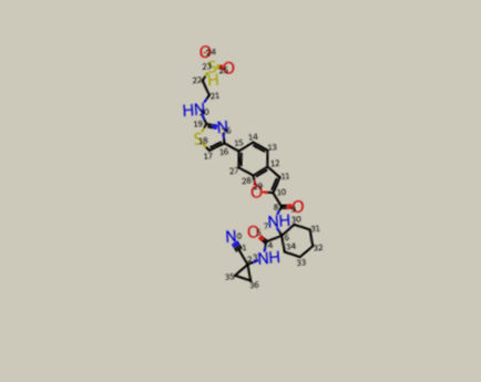 N#CC1(NC(=O)C2(NC(=O)c3cc4ccc(-c5csc(NCC[SH](=O)=O)n5)cc4o3)CCCCC2)CC1